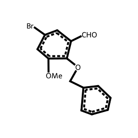 COc1cc(Br)cc(C=O)c1OCc1ccccc1